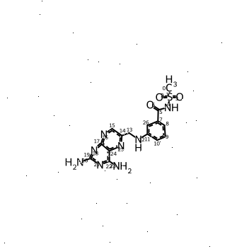 CS(=O)(=O)NC(=O)c1cccc(NCc2cnc3nc(N)nc(N)c3n2)c1